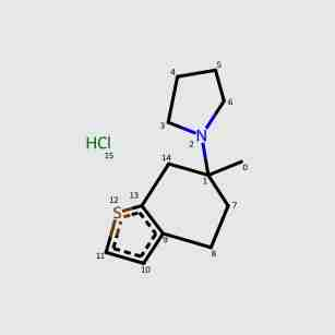 CC1(N2CCCC2)CCc2ccsc2C1.Cl